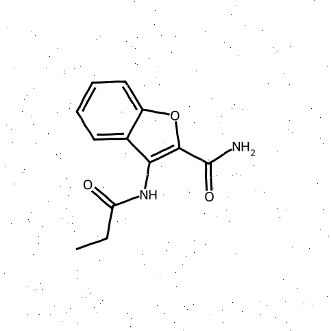 CCC(=O)Nc1c(C(N)=O)oc2ccccc12